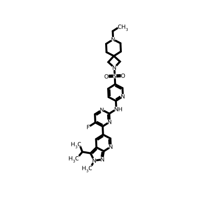 CCN1CCC2(CC1)CN(S(=O)(=O)c1ccc(Nc3ncc(F)c(-c4cnc5nn(C)c(C(C)C)c5c4)n3)nc1)C2